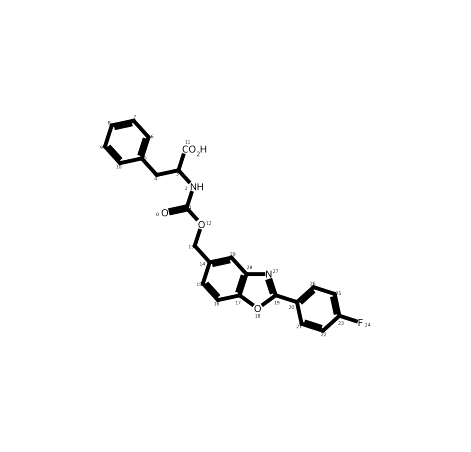 O=C(NC(Cc1ccccc1)C(=O)O)OCc1ccc2oc(-c3ccc(F)cc3)nc2c1